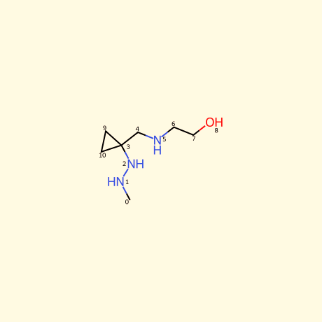 CNNC1(CNCCO)CC1